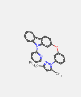 Cc1cc(C)n(-c2cccc(Oc3ccc4c5ccccc5n(-c5ccccn5)c4c3)c2)n1.[Pt]